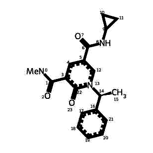 CNC(=O)c1cc(C(=O)NC2CC2)cn([C@@H](C)c2ccccc2)c1=O